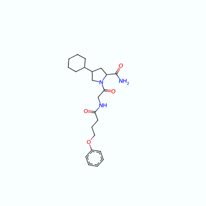 NC(=O)C1CC(C2CCCCC2)CN1C(=O)CNC(=O)CCCOc1ccccc1